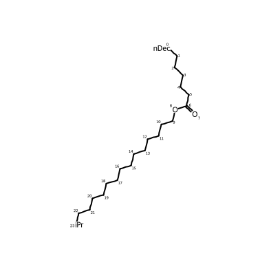 CCCCCCCCCCCCCCCC(=O)OCCCCCCCCCCCCCCC(C)C